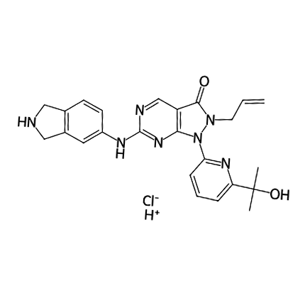 C=CCn1c(=O)c2cnc(Nc3ccc4c(c3)CNC4)nc2n1-c1cccc(C(C)(C)O)n1.[Cl-].[H+]